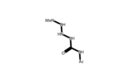 CNBNBC(=O)BC(C)=O